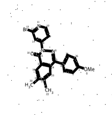 COc1ccc(-c2nn(-c3ccnc(Br)c3)c(=O)c3cc(C)c(C)cc23)cc1